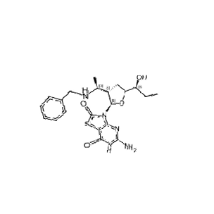 CC[C@H](O)C1C[C@@H]([C@H](C)NCc2ccccc2)[C@H](n2c(=O)sc3c(=O)[nH]c(N)nc32)O1